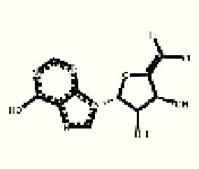 Oc1ncnc2c1ncn2[C@@H]1O/C(=C(\F)Cl)[C@@H](O)[C@H]1O